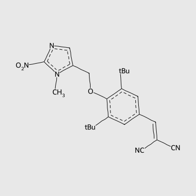 Cn1c(COc2c(C(C)(C)C)cc(C=C(C#N)C#N)cc2C(C)(C)C)cnc1[N+](=O)[O-]